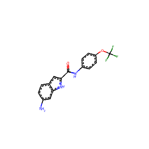 Nc1ccc2cc(C(=O)Nc3ccc(OC(F)(F)F)cc3)[nH]c2c1